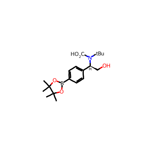 CC(C)(C)N(C(=O)O)[C@@H](CO)c1ccc(B2OC(C)(C)C(C)(C)O2)cc1